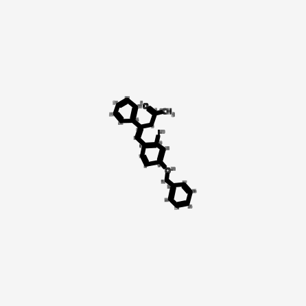 CC(=O)CC(=Cc1ccc(OCc2ccccc2)cc1I)c1ccccc1